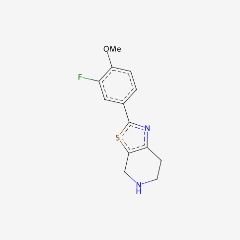 COc1ccc(-c2nc3c(s2)CNCC3)cc1F